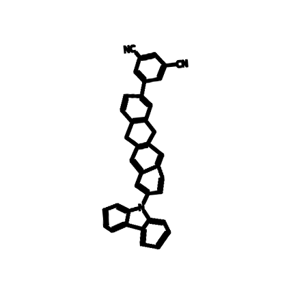 N#Cc1cc(C#N)cc(-c2ccc3c(c2)Cc2cc4ccc(-n5c6ccccc6c6ccccc65)cc4cc2C3)c1